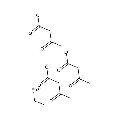 CC(=O)CC(=O)[O-].CC(=O)CC(=O)[O-].CC(=O)CC(=O)[O-].C[CH2][Sn+3]